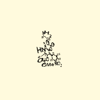 COC(=O)OC1=C(C)NC(C)=C(OC(=O)OCCN)C1c1cccc([N+](=O)[O-])c1